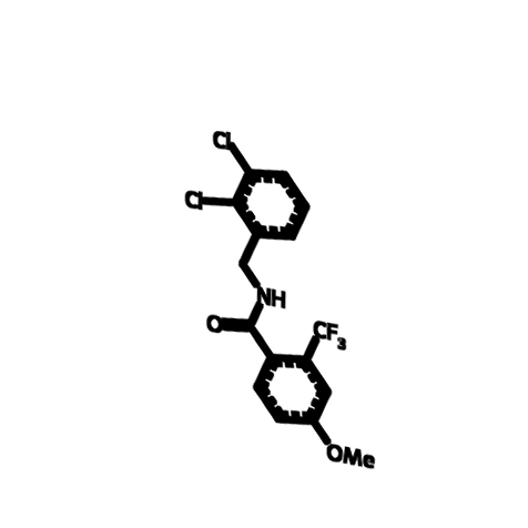 COc1ccc(C(=O)NCc2cccc(Cl)c2Cl)c(C(F)(F)F)c1